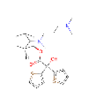 CN(C)CCCN(C)C1C2CC[C@@H]1[C@H](OC(=O)C(O)(c1cccs1)c1cccs1)C2